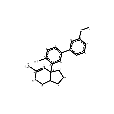 COc1cccc(-c2ccc(F)c(C34CCCC3CSC(N)=N4)c2)c1